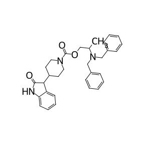 CC(COC(=O)N1CCC(C2C(=O)Nc3ccccc32)CC1)N(Cc1ccccc1)Cc1ccccc1